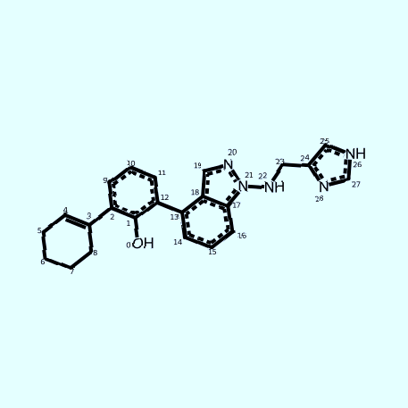 Oc1c(C2=CCCCC2)cccc1-c1cccc2c1cnn2NCc1c[nH]cn1